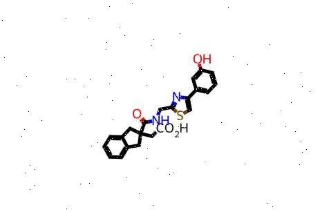 O=C(O)CC1(C(=O)NCc2nc(-c3cccc(O)c3)cs2)Cc2ccccc2C1